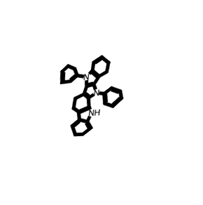 C1=CCCC(n2c3c(c4c2c2c(n4-c4ccccc4)-c4[nH]c5c(c4CC2)=CCCC=5)CCC=C3)=C1